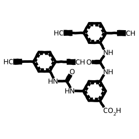 C#Cc1ccc(C#C)c(NC(=O)Nc2cc(NC(=O)Nc3cc(C#C)ccc3C#C)cc(C(=O)O)c2)c1